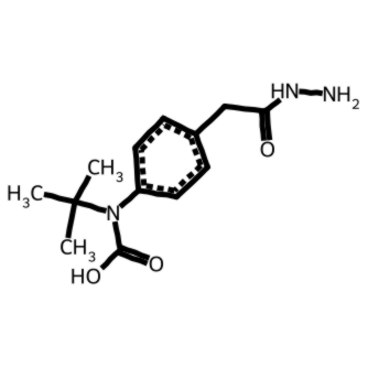 CC(C)(C)N(C(=O)O)c1ccc(CC(=O)NN)cc1